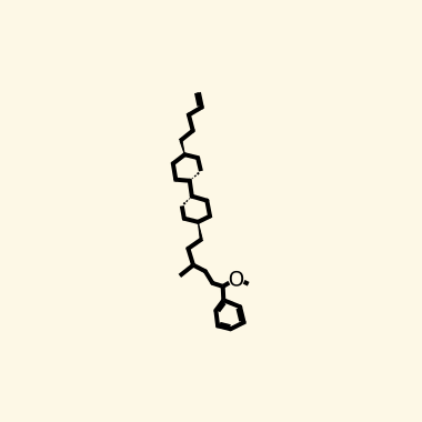 C=CCCC[C@H]1CC[C@H]([C@H]2CC[C@H](CCC(C)CCC(OC)c3ccccc3)CC2)CC1